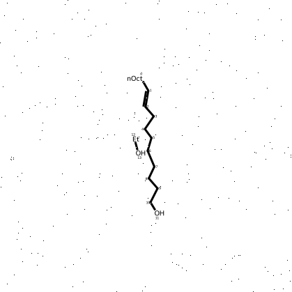 CCCCCCCCC=CCCCCCCCCO.CCO